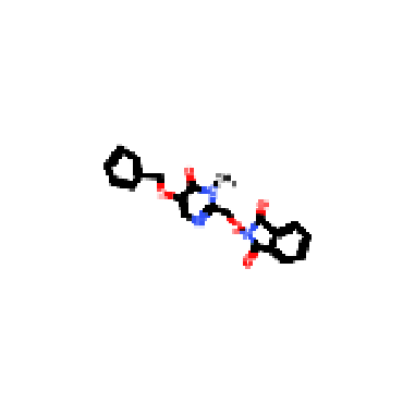 Cn1c(CON2C(=O)c3ccccc3C2=O)ncc(OCc2ccccc2)c1=O